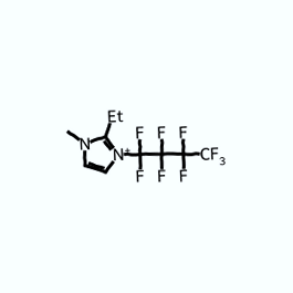 CCc1n(C)cc[n+]1C(F)(F)C(F)(F)C(F)(F)C(F)(F)F